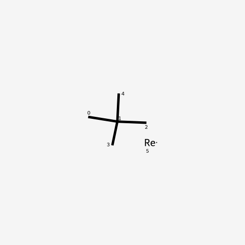 CC(C)(C)C.[Re]